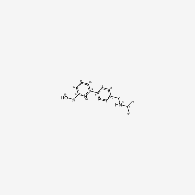 CC(C)NCc1ccc(-c2cccc(CO)n2)cc1